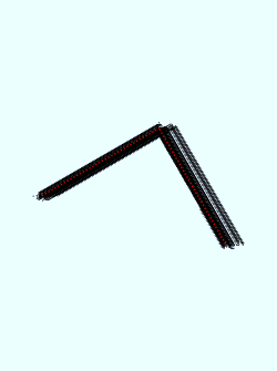 [Fe+3].[Fe+3].[Fe+3].[Fe+3].[Fe+3].[Fe+3].[Fe+3].[Fe+3].[Fe+3].[Fe+3].[Fe+3].[Fe+3].[Fe+3].[Fe+3].[Fe+3].[Fe+3].[Fe+3].[Fe+3].[Fe+3].[Fe+3].[Fe+3].[Fe+3].[Fe+3].[Fe+3].[Fe+3].[Fe+3].[Fe+3].[Fe+3].[Fe+3].[Fe+3].[Fe+3].[Fe+3].[Fe+3].[Fe+3].[Fe+3].[Fe+3].[Fe+3].[Fe+3].[Fe+3].[Fe+3].[Fe+3].[Fe+3].[Fe+3].[Fe+3].[Fe+3].[Fe+3].[Fe+3].[Fe+3].[Fe+3].[Fe+3].[Fe+3].[Fe+3].[Fe+3].[Fe+3].[Fe+3].[Fe+3].[Fe+3].[Fe+3].[Fe+3].[Fe+3].[Fe+3].[Fe+3].[Fe+3].[Fe+3].[Fe+3].[Fe+3].[Fe+3].[Fe+3].[Fe+3].[Fe+3].[Fe+3].[Fe+3].[Fe+3].[Fe+3].[Fe+3].[Fe+3].[Fe+3].[Fe+3].[Fe+3].[Fe+3].[Fe+3].[Fe+3].[Fe+3].[Fe+3].[Fe+3].[Fe+3].[Fe+3].[Fe+3].[Fe+3].[Fe+3].[Fe+3].[Fe+3].[Fe+3].[Fe+3].[Fe+3].[Fe+3].[Fe+3].[Fe+3].[Fe+3].[Fe+3].[Fe+3].[Fe+3].[Fe+3].[Fe+3].[Fe+3].[Fe+3].[Fe+3].[Fe+3].[Fe+3].[Fe+3].[Fe+3].[Fe+3].[Fe+3].[Fe+3].[Fe+3].[Fe+3].[Fe+3].[Fe+3].[Fe+3].[Fe+3].[Fe+3].[Fe+3].[Fe+3].[Fe+3].[Fe+3].[Fe+3].[Fe+3].[Fe+3].[Fe+3].[Fe+3].[Fe+3].[Fe+3].[Fe+3].[Fe+3].[Fe+3].[Fe+3].[Fe+3].[Fe+3].[Fe+3].[Fe+3].[Fe+3].[Fe+3].[Fe+3].[Fe+3].[Fe+3].[Fe+3].[Fe+3].[Fe+3].[Fe+3].[Fe+3]